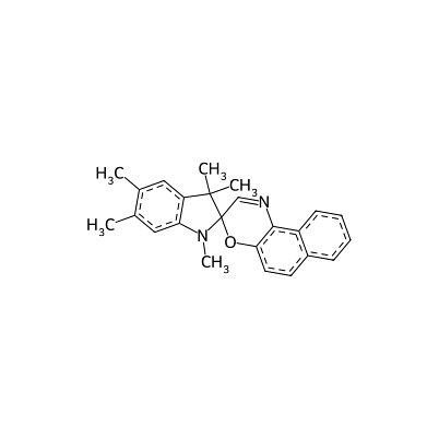 Cc1cc2c(cc1C)C(C)(C)C1(C=Nc3c(ccc4ccccc34)O1)N2C